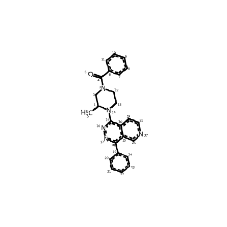 CC1CN(C(=O)c2ccccc2)CCN1c1nnc(-c2ccccc2)c2cnccc12